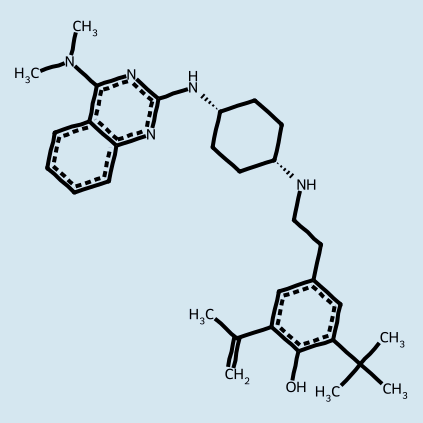 C=C(C)c1cc(CCN[C@H]2CC[C@@H](Nc3nc(N(C)C)c4ccccc4n3)CC2)cc(C(C)(C)C)c1O